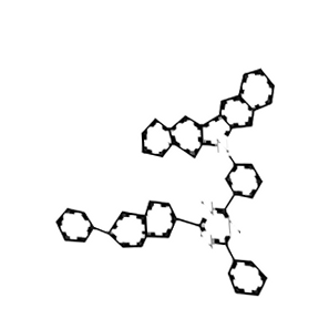 c1ccc(-c2ccc3cc(-c4nc(-c5ccccc5)nc(-c5cccc(-n6c7cc8ccccc8cc7c7cc8ccccc8cc76)c5)n4)ccc3c2)cc1